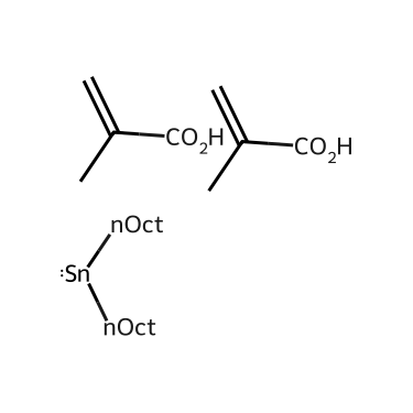 C=C(C)C(=O)O.C=C(C)C(=O)O.CCCCCCC[CH2][Sn][CH2]CCCCCCC